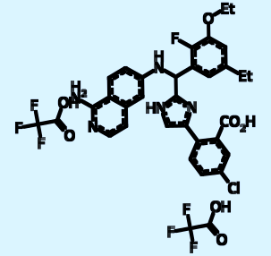 CCOc1cc(CC)cc(C(Nc2ccc3c(N)nccc3c2)c2nc(-c3ccc(Cl)cc3C(=O)O)c[nH]2)c1F.O=C(O)C(F)(F)F.O=C(O)C(F)(F)F